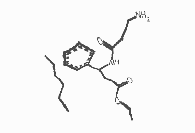 CCCCCC.CCOC(=O)CC(NC(=O)CCN)c1ccccc1